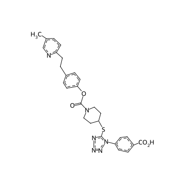 Cc1ccc(CCc2ccc(OC(=O)N3CCC(Sc4nnnn4-c4ccc(C(=O)O)cc4)CC3)cc2)nc1